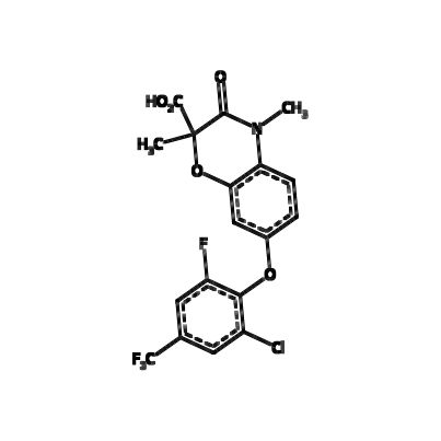 CN1C(=O)C(C)(C(=O)O)Oc2cc(Oc3c(F)cc(C(F)(F)F)cc3Cl)ccc21